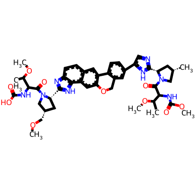 COC[C@H]1C[C@@H](c2nc3ccc4cc5c(cc4c3[nH]2)OCc2cc(-c3cnc([C@@H]4C[C@H](C)CN4C(=O)C(NC(=O)OC)C(C)OC)[nH]3)ccc2-5)N(C(=O)C(NC(=O)O)C(C)OC)C1